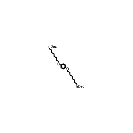 CCCCCCCCCCCCCCCCCCOc1[c]cc(OCCCCCCCCCCCCCCCCCC)[c]c1